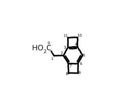 O=C(O)Cc1c2c(cc3c1CC3)CC2